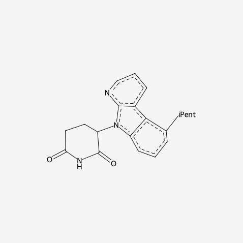 CCCC(C)c1cccc2c1c1cccnc1n2C1CCC(=O)NC1=O